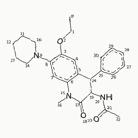 CCOc1cc2c(cc1N1CCCCC1)N(C)C(=O)C(NC(C)=O)C2c1ccccc1